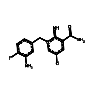 N=c1c(C(N)=O)cc(Cl)cn1Cc1ccc(F)c(N)c1